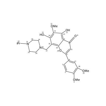 COc1ccc(-c2cc(=O)c3c(O)c(OC)c(O)c(CN4CCN(C(C)C)CC4)c3o2)cc1OC